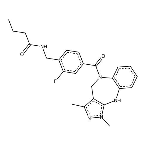 CCCC(=O)NCc1ccc(C(=O)N2Cc3c(C)nn(C)c3Nc3ccccc32)cc1F